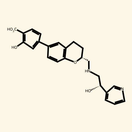 O=C(O)c1ccc(-c2ccc3c(c2)CC[C@H](CNC[C@@H](O)c2cccnc2)O3)cc1O